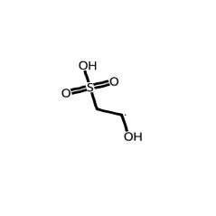 O=S(=O)(O)C[CH]O